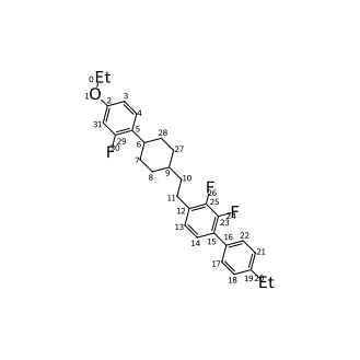 CCOc1ccc(C2CCC(CCc3ccc(-c4ccc(CC)cc4)c(F)c3F)CC2)c(F)c1